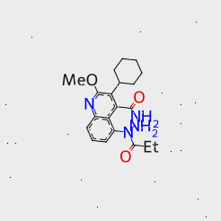 CCC(=O)N(N)c1cccc2nc(OC)c(C3CCCCC3)c(C(N)=O)c12